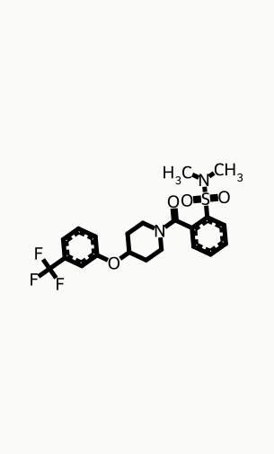 CN(C)S(=O)(=O)c1ccccc1C(=O)N1CCC(Oc2cccc(C(F)(F)F)c2)CC1